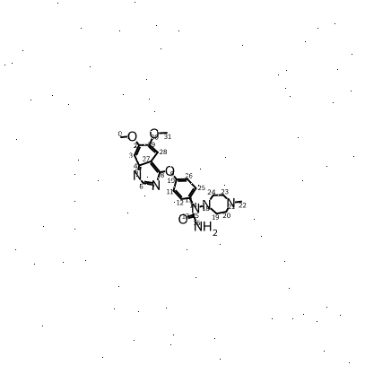 COc1cc2ncnc(Oc3ccc(N(C(N)=O)N4CCN(C)CC4)cc3)c2cc1OC